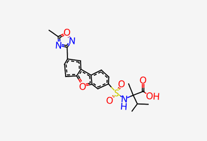 Cc1nc(-c2ccc3oc4cc(S(=O)(=O)NC(C)(C(=O)O)C(C)C)ccc4c3c2)no1